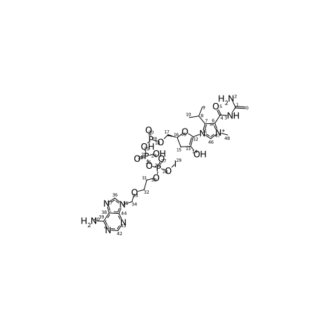 C=C(N)NC(=O)c1c(C(C)C)n(C2=C(O)C[C@@H](CO[PH](=O)OP(=O)(O)OP(=O)(OI)OCCOCn3cnc4c(N)ncnc43)O2)c[n+]1C